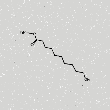 CCCOC(=O)CCCCCCCCCO